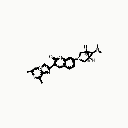 Cc1cn2cc(-c3cc4ccc(N5C[C@@H]6C(N(C)C)[C@@H]6C5)cc4oc3=O)nc2c(C)n1